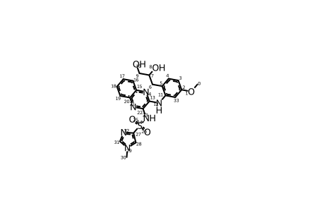 COc1ccc(CC(O)CO)c(Nc2nc3ccccc3nc2NS(=O)(=O)c2cn(C)cn2)c1